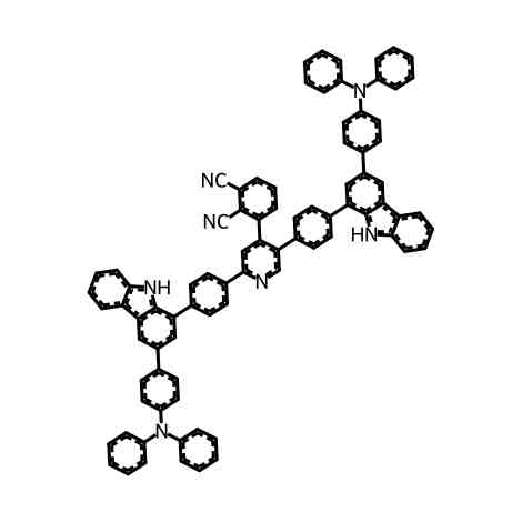 N#Cc1cccc(-c2cc(-c3ccc(-c4cc(-c5ccc(N(c6ccccc6)c6ccccc6)cc5)cc5c4[nH]c4ccccc45)cc3)ncc2-c2ccc(-c3cc(-c4ccc(N(c5ccccc5)c5ccccc5)cc4)cc4c3[nH]c3ccccc34)cc2)c1C#N